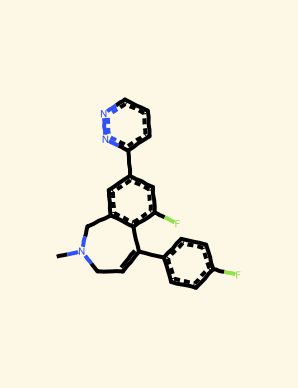 CN1CC=C(c2ccc(F)cc2)c2c(F)cc(-c3cccnn3)cc2C1